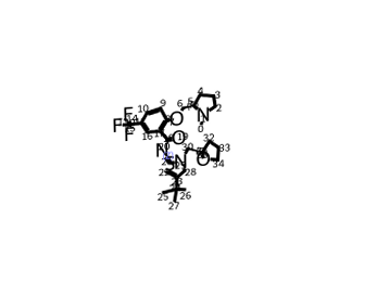 CN1CCC[C@@H]1COc1ccc(C(F)(F)F)cc1C(=O)/N=S1/C=C(C(C)(C)C)CN1C[C@H]1CCCO1